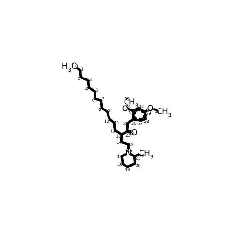 CCCCCCCCCCCCCC(CCN1CCCCC1C)C(=O)Cc1ccc(OC)cc1OC